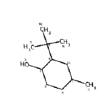 CC1CCC(O)C(C(C)(C)C)C1